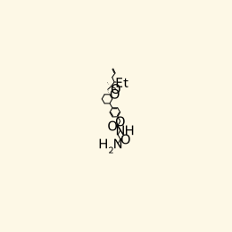 C=CCC(CC)[C@]1(C)C[C@]2(CCCC(c3ccc(OC(=O)NCC(N)=O)cc3)C2)OO1